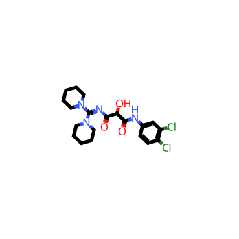 O=C(N=C(N1CCCCC1)N1CCCCC1)C(O)C(=O)Nc1ccc(Cl)c(Cl)c1